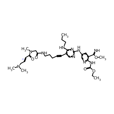 CCCNc1nc(Nc2cnc(NC(=O)OCC)c(C(=N)OC)c2)ncc1C#CCCCNC(=O)CN(C)C(=O)/C=C/CN(C)C